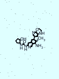 Cc1c(-c2cc3cc(NC(=O)N[C@H]4CCC[C@@H]4O)ncc3c(N)c2F)cnc2c1NCCO2